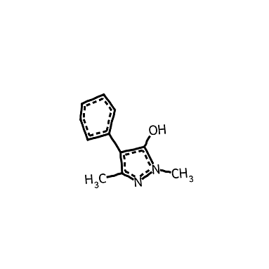 Cc1nn(C)c(O)c1-c1ccccc1